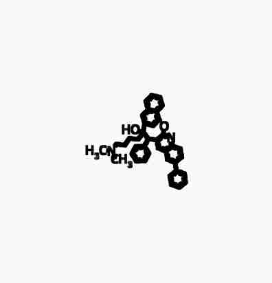 CN(C)CCCCC1(O)c2cc(c3ccccc3c2)Oc2nc3ccc(-c4ccccc4)cc3cc2C1c1ccccc1